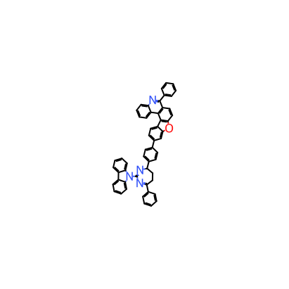 c1ccc(C2=NC(n3c4ccccc4c4ccccc43)=NC(c3ccc(-c4ccc5c(c4)oc4ccc6c(-c7ccccc7)nc7ccccc7c6c45)cc3)CC2)cc1